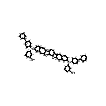 CC(C)c1cccc(N(c2ccc(-c3ccccc3)cc2)c2ccc3cc4c(cc3c2)oc2c4ccc3c4cc5ccc(N(c6ccc(-c7ccccc7)cc6)c6cccc(C(C)C)c6)cc5cc4oc32)c1